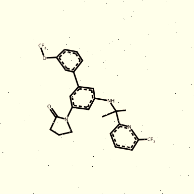 CC(C)(Nc1cc(-c2cccc(OC(F)(F)F)c2)cc(N2CCCC2=O)c1)c1cccc(C(F)(F)F)n1